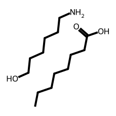 CCCCCCCC(=O)O.NCCCCCCO